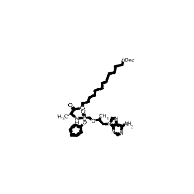 CCCCCCCCCCCCCCCCCCCCCCOC(=O)[C@@H](C)NP(=O)(COC(C)Cn1cnc2c(N)ncnc21)Oc1ccccc1